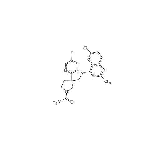 NC(=O)N1CCC(CNc2cc(C(F)(F)F)nc3ccc(Cl)cc23)(c2ccc(F)cn2)C1